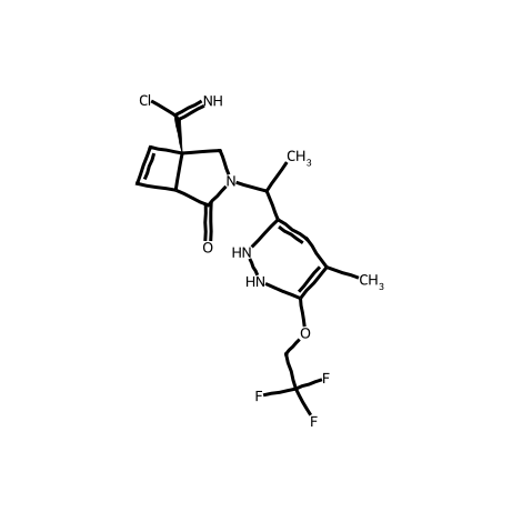 CC1=C(OCC(F)(F)F)NNC(C(C)N2C[C@@]3(C(=N)Cl)C=CC3C2=O)=C1